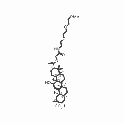 COCCOCCOCCNC(=O)COC(=O)[C@H]1CC[C@]2(C)[C@H]3C(O)C=C4[C@@H]5C[C@@](C)(C(=O)O)CC[C@]5(C)CC[C@@]4(C)[C@]3(C)CC[C@H]2C1(C)C